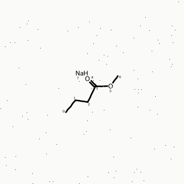 CCCC(=O)OC.[NaH]